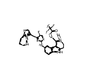 O=C(OC1NCCc2[nH]c3ccc(Nc4ncc(F)c(-c5cnc6cccnn56)n4)cc3c21)C(F)(F)F